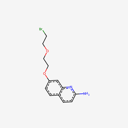 Nc1ccc2ccc(OCCOCCBr)cc2n1